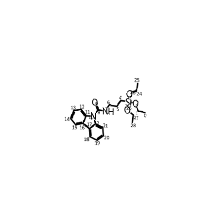 CCO[Si](CCCNC(=O)n1c2ccccc2c2ccccc21)(OCC)OCC